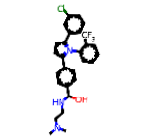 CN(C)CCNC(O)c1ccc(-c2ccc(-c3cccc(Cl)c3)n2-c2ccccc2C(F)(F)F)cc1